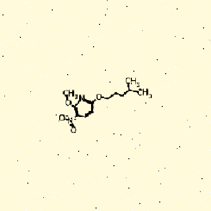 COc1nc(OCCCC(C)C)ccc1[N+](=O)[O-]